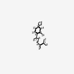 CC(C)=C(C)SCC(C)c1ccc(Cl)cc1C